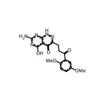 COc1ccc(OC)c(C(=O)CCc2n[nH]c3nc(N)nc(O)c3c2=O)c1